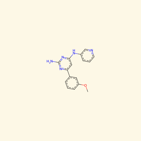 COc1cccc(-c2cc(Nc3cccnc3)nc(N)n2)c1